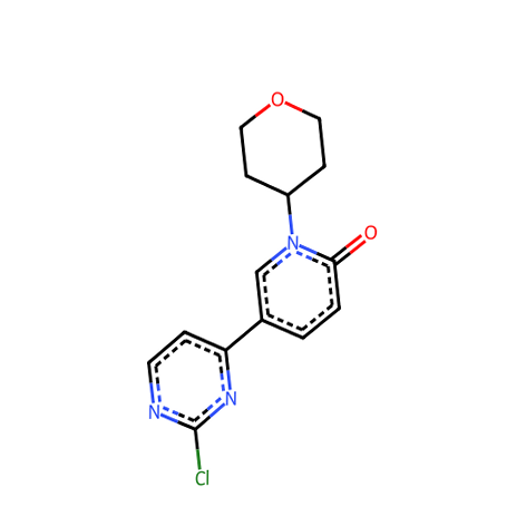 O=c1ccc(-c2ccnc(Cl)n2)cn1C1CCOCC1